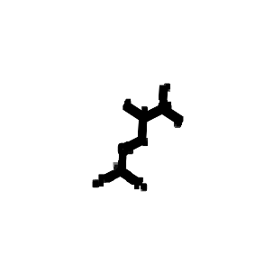 CC(C)C(C)COC(F)F